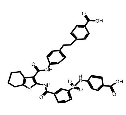 O=C(O)c1ccc(CCc2ccc(NC(=O)c3c(NC(=O)c4cccc(S(=O)(=O)Nc5ccc(C(=O)O)cc5)c4)sc4c3CCCC4)cc2)cc1